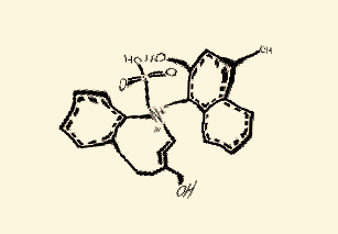 O=S(=O)(O)[N@+]1(c2c(O)cc(O)c3ccccc23)C=C(O)Cc2ccccc21